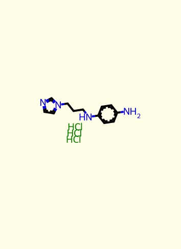 Cl.Cl.Cl.Nc1ccc(NCCCn2ccnc2)cc1